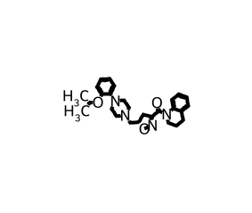 CC(C)Oc1ccccc1N1CCN(CC2CC(C(=O)N3CCCc4ccccc43)=NO2)CC1